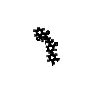 O=C(NCC(F)(F)c1ccc(-c2ccc(F)c(F)c2)cc1Cl)c1ccccc1C(F)(F)F